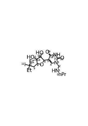 CCCNCn1cc(C2OC(CC(I)(CC)CC)[C@@H](O)[C@H]2O)c(=O)[nH]c1=O